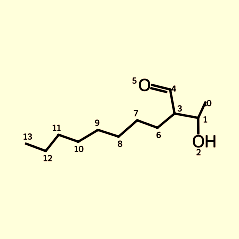 [CH2]C(O)C(C=O)CCCCCCCC